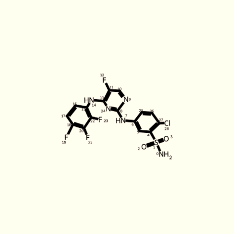 NS(=O)(=O)c1cc(Nc2ncc(F)c(Nc3ccc(F)c(F)c3F)n2)ccc1Cl